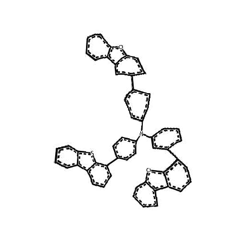 c1cc(-c2cccc3c2oc2ccccc23)cc(N(c2ccc(-c3ccc4oc5ccccc5c4c3)cc2)c2ccc(-c3cccc4c3sc3ccccc34)cc2)c1